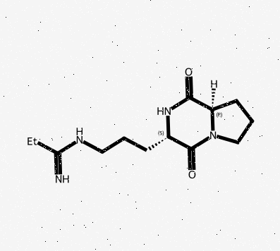 CCC(=N)NCCC[C@@H]1NC(=O)[C@H]2CCCN2C1=O